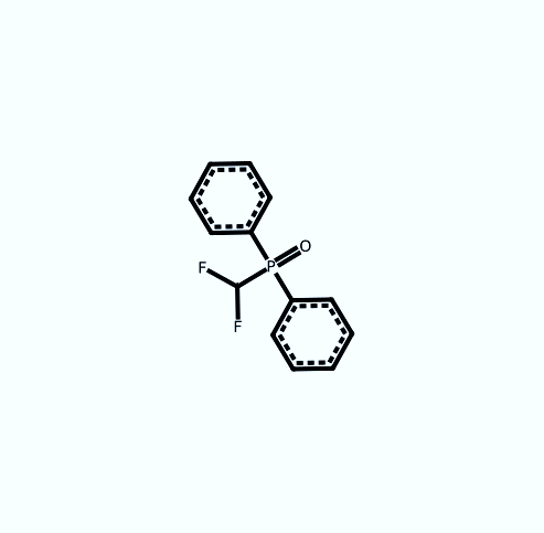 O=P([C](F)F)(c1ccccc1)c1ccccc1